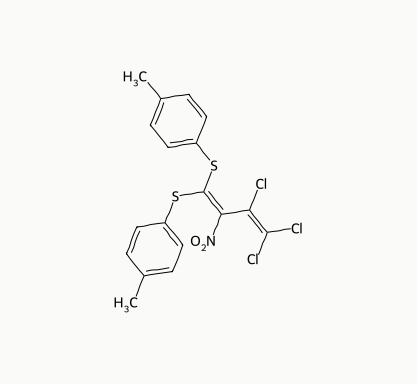 Cc1ccc(SC(Sc2ccc(C)cc2)=C(C(Cl)=C(Cl)Cl)[N+](=O)[O-])cc1